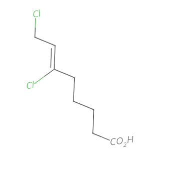 O=C(O)CCCCC(Cl)=CCCl